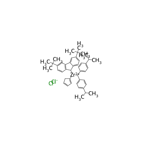 CC(C)c1ccc([C](c2ccc(C(C)C)cc2)=[Zr+2]([C]2=CC=CC2)[CH]2c3ccc(C(C)(C)C)cc3-c3cc(C(C)(C)C)ccc32)cc1.[Cl-].[Cl-]